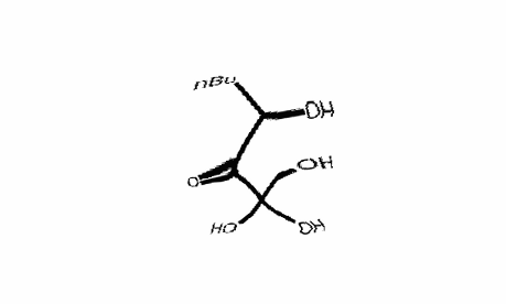 CCCCC(O)C(=O)C(O)(O)O